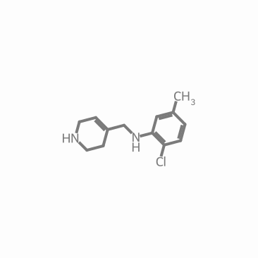 Cc1ccc(Cl)c(NCC2=CCNCC2)c1